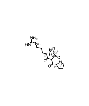 Cl.[NH]C(=O)C(C(=O)[C@@H](N)CCCNC(=N)N)C(=O)[C@H]1CCCN1